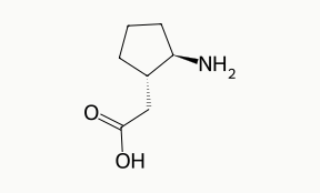 N[C@@H]1CCC[C@H]1CC(=O)O